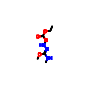 CCOC(=O)ONN=C(NC)OC